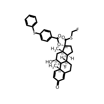 C[C@]12C=CC(=O)C=C1CC[C@H]1[C@@H]3CC[C@](OC(=O)c4ccc(Sc5ccccc5)cc4)(C(=O)SCF)[C@@]3(C)C[C@H](O)[C@@]12F